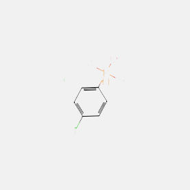 [Cl+3].[O-][PH]([O-])([O-])c1ccc(Cl)cc1